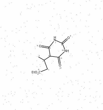 CCOC(=O)CC(C)C1C(=O)NC(=O)NC1=O